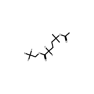 CC(=O)OC(C)(C)CCC(F)(F)C(=O)OCC(F)(F)F